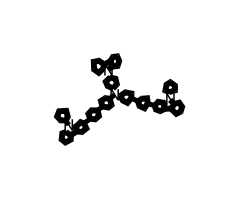 c1ccc(-n2c3ccccc3c3ccc(-c4ccc(-c5ccc(N(c6ccc(-c7ccc(-c8ccc9c%10ccccc%10n(-c%10ccccc%10)c9c8)cc7)cc6)c6ccc(-n7c8ccccc8c8ccccc87)cc6)cc5)cc4)cc32)cc1